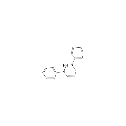 C1=CN(c2ccccc2)NN(c2ccccc2)C1